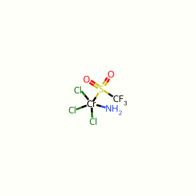 [NH2][Cr]([Cl])([Cl])([Cl])[S](=O)(=O)C(F)(F)F